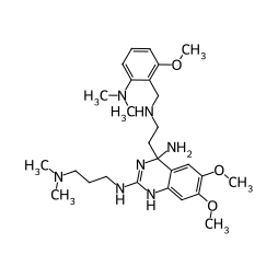 COc1cc2c(cc1OC)C(N)(CCNCc1c(OC)cccc1N(C)C)N=C(NCCCN(C)C)N2